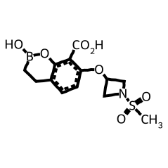 CS(=O)(=O)N1CC(Oc2ccc3c(c2C(=O)O)OB(O)CC3)C1